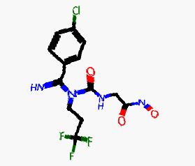 N=C(c1ccc(Cl)cc1)N(CCC(F)(F)F)C(=O)NCC(=O)N=O